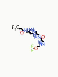 O=C(CCC(F)(F)F)NCc1cnn2cc(CNC(=O)c3cnn(CCOC(F)F)n3)nc2c1